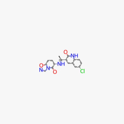 C[C@H](Nc1ccc2oncn2c1=O)c1cc2cc(Cl)ccc2[nH]c1=O